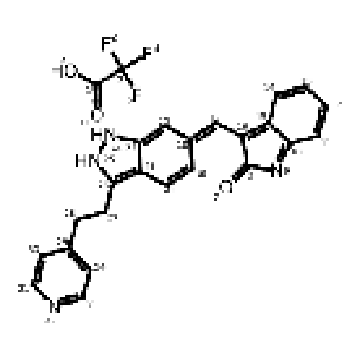 O=C(O)C(F)(F)F.O=C1N=c2ccccc2=C1C=c1ccc2c(c1)NNC=2CCc1ccncc1